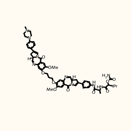 COc1cc2c(cc1OCCCOc1cc3c(cc1OC)C(=O)N1C=C(c4ccc(N5CCN(C)CC5)cc4)C[C@H]1C=N3)N=C[C@@H]1CC(c3ccc(NC(=O)C(C)NC(=O)C(OC(N)=O)C(C)C)cc3)=CN1C2=O